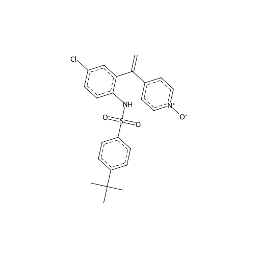 C=C(c1cc[n+]([O-])cc1)c1cc(Cl)ccc1NS(=O)(=O)c1ccc(C(C)(C)C)cc1